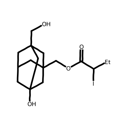 CCC(I)C(=O)OCC12CC3CC(O)(CC(CO)(C3)C1)C2